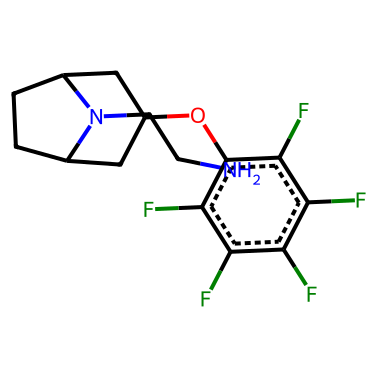 NCCN1C2CCC1CC(Oc1c(F)c(F)c(F)c(F)c1F)C2